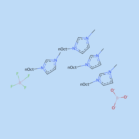 CCCCCCCC[n+]1ccn(C)c1.CCCCCCCC[n+]1ccn(C)c1.CCCCCCCC[n+]1ccn(C)c1.CCCCCCCC[n+]1ccn(C)c1.F[B-](F)(F)F.[O-]B([O-])[O-]